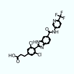 O=C(O)CCc1cc(Cl)c(-c2nc3ccc(C(=O)Nc4ccc(C(F)(F)F)nc4)cc3[nH]2)c(Cl)c1